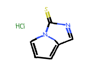 Cl.S=C1N=Cc2cccn21